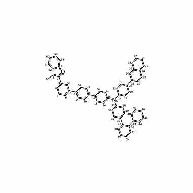 Cc1c(-c2cccc(-c3ccc(-c4ccc(N(c5ccc(-c6ccc7ccccc7c6)cc5)c5ccc(-c6ccccc6-c6ccccc6)cc5)cc4)cc3)c2)oc2ccccc12